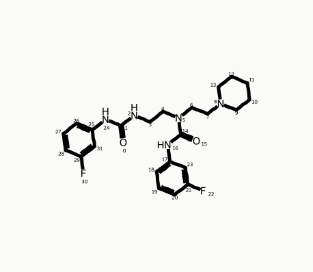 O=C(NCCN(CCN1CCCCC1)C(=O)Nc1cccc(F)c1)Nc1cccc(F)c1